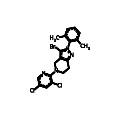 Cc1cccc(C)c1-n1nc2c(c1Br)CN(c1ncc(Cl)cc1Cl)CC2